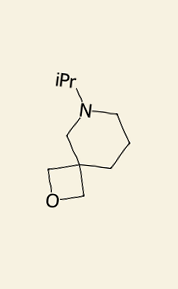 CC(C)N1CCCC2(COC2)C1